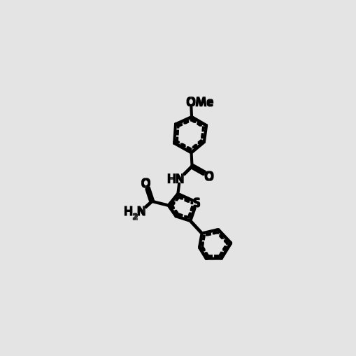 COc1ccc(C(=O)Nc2sc(-c3ccccc3)cc2C(N)=O)cc1